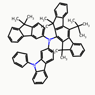 CC(C)(C)c1c2c(c(N(c3ccc4c(c3)-c3ccccc3C4(C)C)c3ccc4c5ccccc5n(-c5ccccc5)c4c3)c3c1-c1ccccc1C3(C)C)C(C)(C)c1ccccc1-2